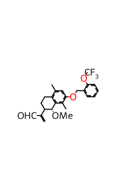 C=C(C=O)C1CCc2c(C)cc(OCc3ccccc3OC(F)(F)F)c(C)c2[C@@H]1OC